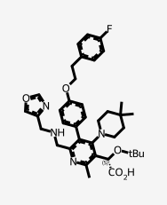 Cc1nc(CNCc2cocn2)c(-c2ccc(OCCc3ccc(F)cc3)cc2)c(N2CCC(C)(C)CC2)c1[C@H](OC(C)(C)C)C(=O)O